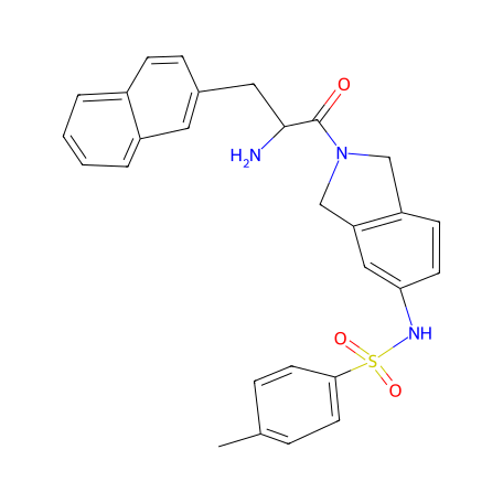 Cc1ccc(S(=O)(=O)Nc2ccc3c(c2)CN(C(=O)C(N)Cc2ccc4ccccc4c2)C3)cc1